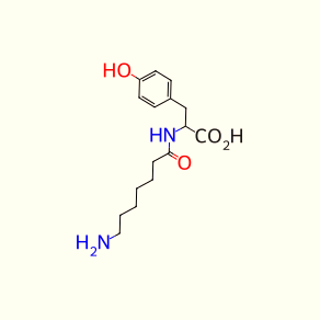 NCCCCCCC(=O)NC(Cc1ccc(O)cc1)C(=O)O